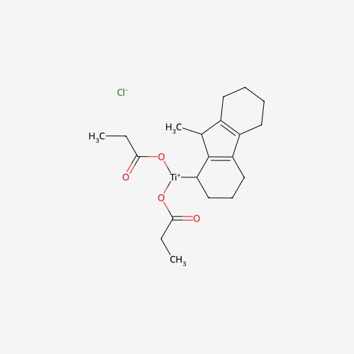 CCC(=O)[O][Ti+]([O]C(=O)CC)[CH]1CCCC2=C1C(C)C1=C2CCCC1.[Cl-]